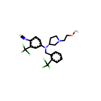 [C-]#[N+]c1ccc(N(Cc2ccccc2C(F)(F)F)[C@H]2CCN(CCOC)C2)cc1C(F)(F)F